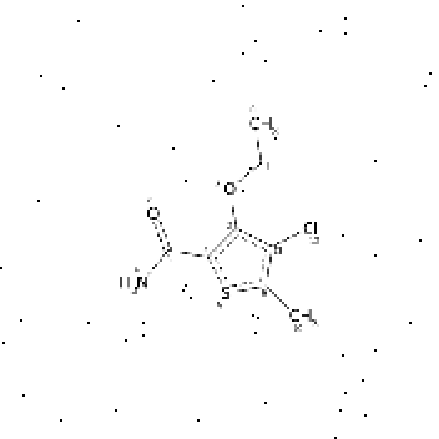 CCOc1c(C(N)=O)sc(C)c1Cl